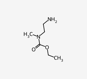 CCOC(=O)N(C)CCN